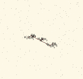 CC(C)=CCCC(C)CNOCCCCCCCCCCCCN(CCCCCCCCCCCCOCCC(C)CCCC(C)C)CCN(C)C